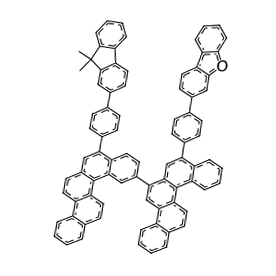 CC1(C)c2ccccc2-c2ccc(-c3ccc(-c4cc5ccc6c7ccccc7ccc6c5c5cc(-c6cc7c8ccccc8ccc7c7c6cc(-c6ccc(-c8ccc9c(c8)oc8ccccc89)cc6)c6ccccc67)ccc45)cc3)cc21